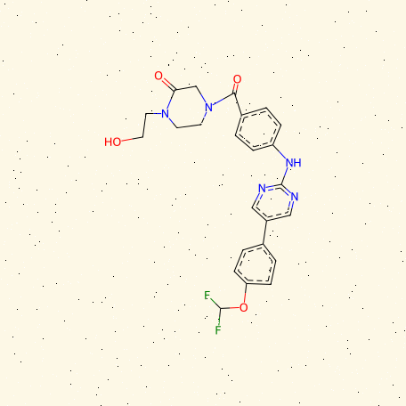 O=C1CN(C(=O)c2ccc(Nc3ncc(-c4ccc(OC(F)F)cc4)cn3)cc2)CCN1CCO